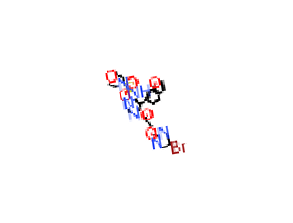 O=S(=O)(Nc1ncnc(OCCOc2ncc(Br)cn2)c1-c1ccc2c(c1)OCC2)N1CCOCC1